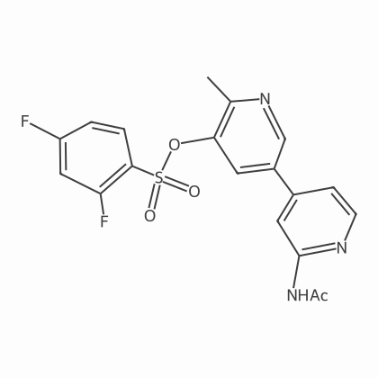 CC(=O)Nc1cc(-c2cnc(C)c(OS(=O)(=O)c3ccc(F)cc3F)c2)ccn1